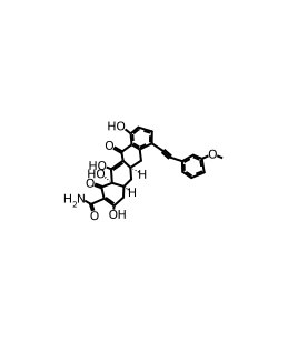 COc1cccc(C#Cc2ccc(O)c3c2C[C@H]2C[C@H]4CC(O)=C(C(N)=O)C(=O)[C@@]4(O)C(O)=C2C3=O)c1